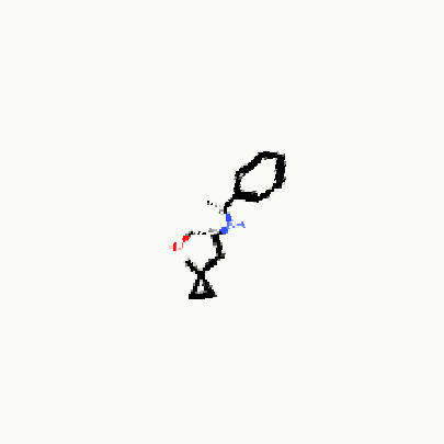 C[C@@H](N[C@@H](CO)CC1(C)CC1)c1ccccc1